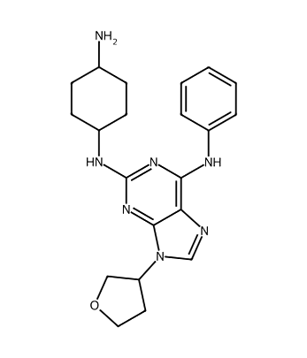 NC1CCC(Nc2nc(Nc3ccccc3)c3ncn(C4CCOC4)c3n2)CC1